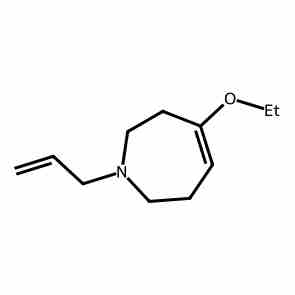 C=CCN1CCC=C(OCC)CC1